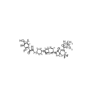 CC(C)(C)OC(=O)N1CC(F)(F)CC2(CCN(c3ccc4cn(C5CCC(CNC(=O)c6cc(F)c(O)c(F)c6F)CC5)nc4c3)C2=O)C1